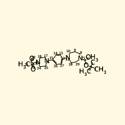 CC(C)(C)OC(=O)N1CCCN(c2ccc(N3CCN(S(C)(=O)=O)CC3)cc2)CC1